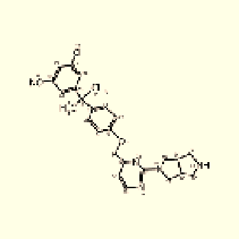 CC(C)(c1ccc(OCc2ccnc(N3CC4CNCC4C3)n2)cc1)c1cc(Cl)cc(C#N)c1